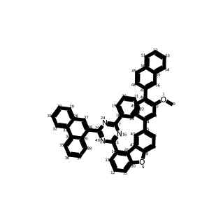 COc1cc(-c2ccc3oc4cccc(-c5nc(-c6ccccc6)nc(-c6cc7ccccc7c7ccccc67)n5)c4c3c2)ccc1-c1ccc2ccccc2c1